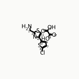 NCc1nc(-c2ccc(Cl)s2)cs1.O=C(O)C(=O)O